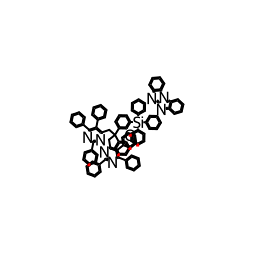 c1ccc(-c2nc(CC3(Cc4nc(-c5ccccc5)nc(-c5ccccc5)c4-c4ccccc4)c4ccccc4Oc4c3cccc4[Si](c3ccccc3)(c3ccccc3)c3cccc(-n4c5ccccc5n5c6ccccc6nc45)c3)c(-c3ccccc3)c(-c3ccccc3)n2)cc1